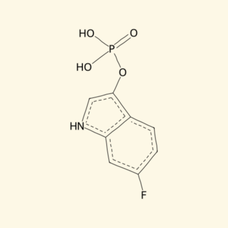 O=P(O)(O)Oc1c[nH]c2cc(F)ccc12